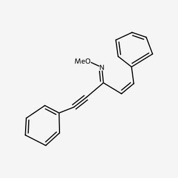 CO/N=C(C#Cc1ccccc1)/C=C\c1ccccc1